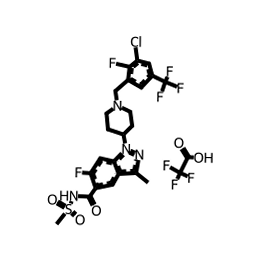 Cc1nn(C2CCN(Cc3cc(C(F)(F)F)cc(Cl)c3F)CC2)c2cc(F)c(C(=O)NS(C)(=O)=O)cc12.O=C(O)C(F)(F)F